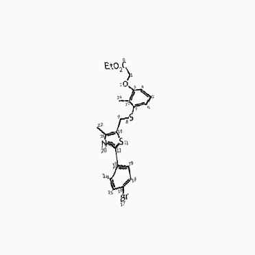 CCOC(=O)COc1cccc(SCc2sc(-c3ccc(Br)cc3)nc2C)c1C